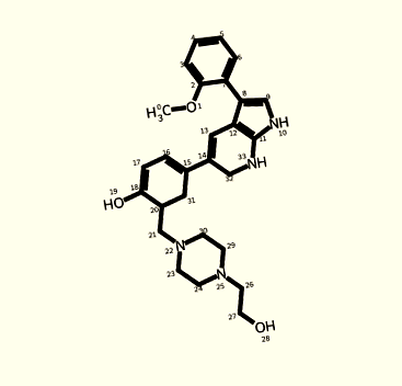 COc1ccccc1-c1c[nH]c2c1C=C(C1=CC=C(O)C(CN3CCN(CCO)CC3)C1)CN2